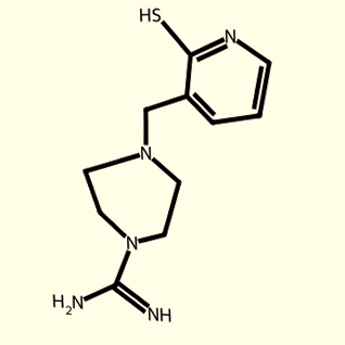 N=C(N)N1CCN(Cc2cccnc2S)CC1